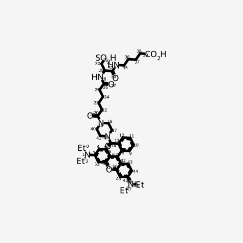 CCN(CC)c1ccc2c(-c3ccccc3C(=O)N3CCN(C(=O)CCCCC(=O)NC(CS(=O)(=O)O)C(=O)NCCCCC(=O)O)CC3)c3ccc(=[N+](CC)CC)cc-3oc2c1